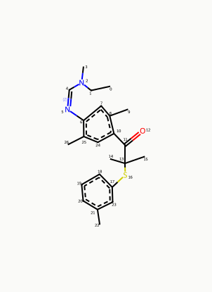 CCN(C)/C=N\c1cc(C)c(C(=O)C(C)(C)Sc2cccc(C)c2)cc1C